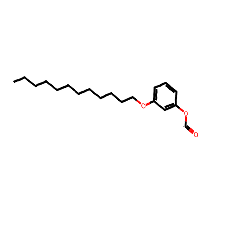 CCCCCCCCCCCCOc1cccc(O[C]=O)c1